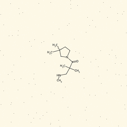 CNCC(C)(C)C(=O)N1CCC(C)(C)C1